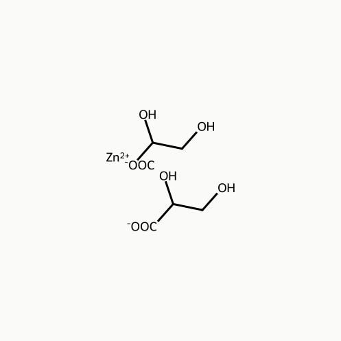 O=C([O-])C(O)CO.O=C([O-])C(O)CO.[Zn+2]